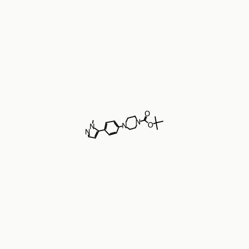 Cn1nccc1-c1ccc(N2CCN(C(=O)OC(C)(C)C)CC2)cc1